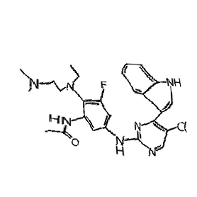 CCN(CCN(C)C)c1c(F)cc(Nc2ncc(Cl)c(-c3c[nH]c4ccccc34)n2)cc1NC(C)=O